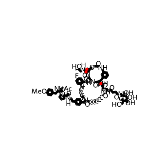 COc1ccc(C[C@H](NC(C)=O)C(=O)N2CCC[C@@]2(C)C(=O)NCCc2ccc(CN3CCCCn4cc(c5cc(F)ccc54)C[C@@H]4NC(=O)[C@H](Cc5cccc(c5)CNC(=O)COC5CCN(C4=O)[C@@H]5C(=O)NC[C@@H](C)O)NC(=O)[C@@H](CNC(=O)CCC(=O)NC4OC(CO)C(O)C(O)C4O)NC(=O)CCCCCC3=O)cc2)cc1